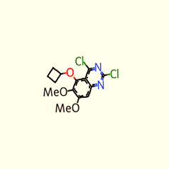 COc1cc2nc(Cl)nc(Cl)c2c(OC2CCC2)c1OC